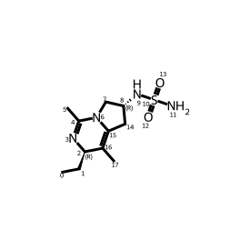 CC[C@H]1N=C(C)N2C[C@H](NS(N)(=O)=O)CC2=C1C